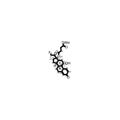 COC(=O)CCC(=O)O[C@]1(C(=O)CF)[C@@H](C)C[C@H]2[C@@H]3CCC4=CC(=O)C=C[C@]4(C)[C@@]3(F)[C@@H](O)C[C@@]21C